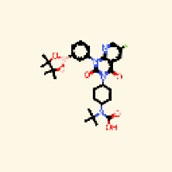 CC(C)(C)N(C(=O)O)[C@H]1CC[C@@H](n2c(=O)c3cc(F)cnc3n(-c3cccc(B4OC(C)(C)C(C)(C)O4)c3)c2=O)CC1